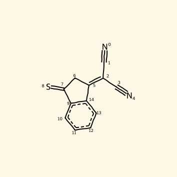 N#CC(C#N)=C1CC(=S)c2ccccc21